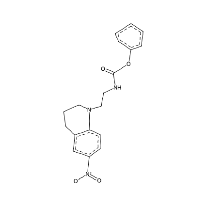 O=C(NCCN1CCCc2cc([N+](=O)[O-])ccc21)Oc1ccccc1